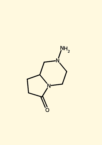 NN1CCN2C(=O)CCC2C1